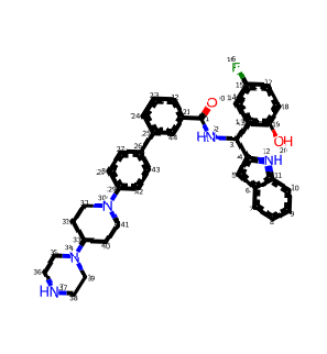 O=C(NC(c1cc2ccccc2[nH]1)c1cc(F)ccc1O)c1cccc(-c2ccc(N3CCC(N4CCNCC4)CC3)cc2)c1